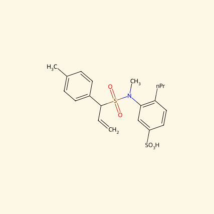 C=CC(c1ccc(C)cc1)S(=O)(=O)N(C)c1cc(S(=O)(=O)O)ccc1CCC